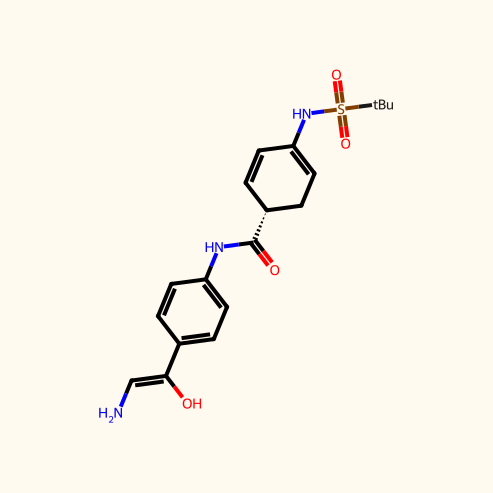 CC(C)(C)S(=O)(=O)NC1=CC[C@H](C(=O)Nc2ccc(/C(O)=C/N)cc2)C=C1